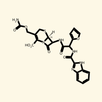 NC(=O)OCC1=C(C(=O)O)N2C(=O)C(NC(=O)C(NC(=O)c3nc4ccccc4[nH]3)c3ccco3)[C@@H]2SC1